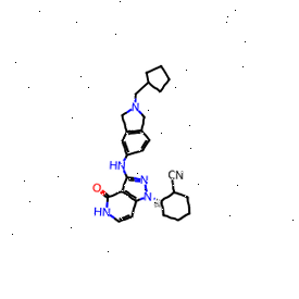 N#CC1CCCC[C@@H]1n1nc(Nc2ccc3c(c2)CN(CC2CCCC2)C3)c2c(=O)[nH]ccc21